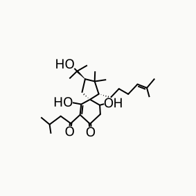 CC(C)=CCCC[C@H]1C(C)(C)[C@H](C(C)(C)O)C[C@]12C(O)=C(C(=O)CC(C)C)C(=O)CC2O